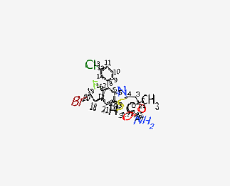 CC(C)(Cc1nc2c(-c3cccc(Cl)c3)c(F)c(CCBr)cc2s1)OC(N)=O